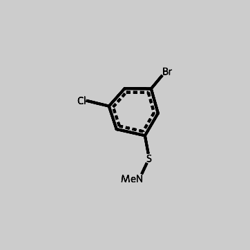 CNSc1cc(Cl)cc(Br)c1